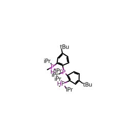 CC(C)P(c1ccc(C(C)(C)C)cc1[PH](C)(C(C)C)C(C)C)c1ccc(C(C)(C)C)cc1[PH](C)(C(C)C)C(C)C